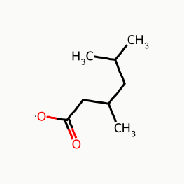 CC(C)CC(C)CC([O])=O